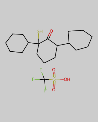 O=C1C(C2CCCCC2)CCCC1(S)C1CCCCC1.O=S(=O)(O)C(F)(F)F